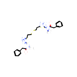 CCN(C(=O)Cc1ccccc1)c1nnc(CCSCCc2nnc(N(CC)C(=O)Cc3ccccc3)s2)s1